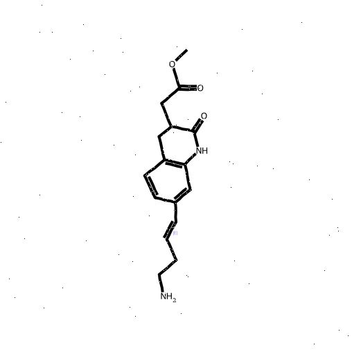 COC(=O)CC1Cc2ccc(/C=C/CCN)cc2NC1=O